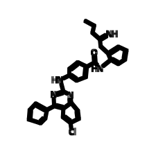 CCCC(=N)Cc1ccccc1NC(=O)c1ccc(Nc2nc(-c3ccccc3)c3cc(Cl)ccc3n2)cc1